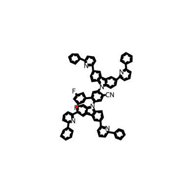 N#Cc1cc(-n2c3ccc(-c4cccc(-c5ccccc5)n4)cc3c3cc(-c4cccc(-c5ccccc5)n4)ccc32)c(-c2cc(F)cc(F)c2)cc1-n1c2ccc(-c3cccc(-c4ccccc4)n3)cc2c2cc(-c3cccc(-c4ccccc4)n3)ccc21